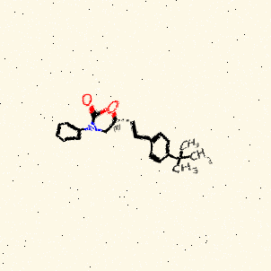 CC(C)(C)c1ccc(CC[C@@H]2CN(c3ccccc3)C(=O)O2)cc1